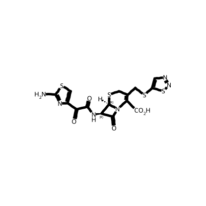 Nc1nc(C(=O)C(=O)N[C@@H]2C(=O)N3C(C(=O)O)=C(CSc4cnns4)CS[C@H]23)cs1